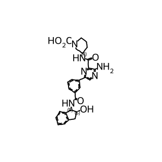 Nc1ncc(-c2cccc(C(=O)N[C@@H]3c4ccccc4C[C@@H]3O)c2)nc1C(=O)N[C@@H]1CCCN(C(=O)O)C1